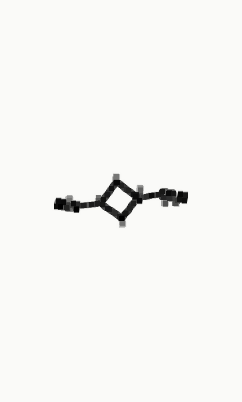 CNC1CN(C(=O)O)C1